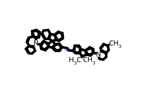 CC1C=CC2=C(CCCN2c2ccc3c(c2)C(C)(C)c2cc(/C=C/c4ccc5c(c4)C4(C6=C(CCC=C6)c6ccccc64)c4cc(N6C7=C(C=CCC7)C=Cc7ccccc76)ccc4-5)ccc2-3)C1